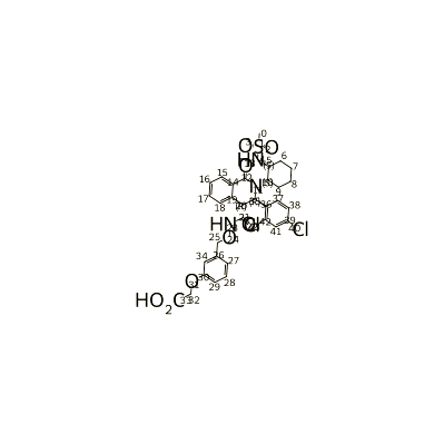 CS(=O)(=O)N[C@H]1CCCC[C@@H]1N1C(=O)c2ccccc2[C@@H](C(=O)NOCc2cccc(OCC(=O)O)c2)[C@@H]1c1ccc(Cl)cc1Cl